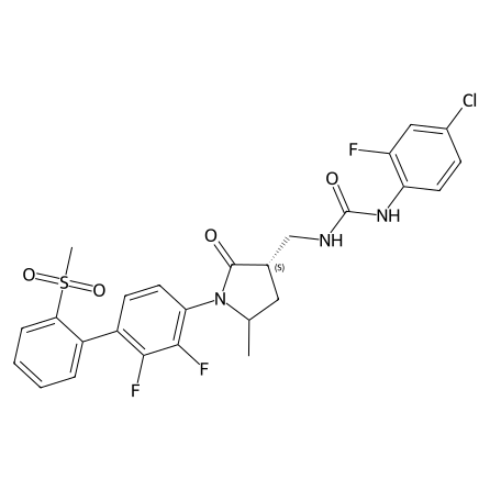 CC1C[C@@H](CNC(=O)Nc2ccc(Cl)cc2F)C(=O)N1c1ccc(-c2ccccc2S(C)(=O)=O)c(F)c1F